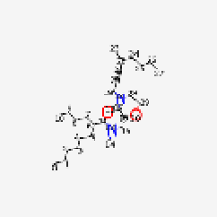 CCCCCCC(CCCC)C(=O)N(C)C[C@@H]1CN(CC#CC(C)CCCC)CCO1